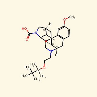 COc1ccc2c(c1)[C@]13CCN(CCO[Si](C)(C)C(C)(C)C)[C@H](C2)[C@]12CCC1C3[C@@H](CN1C(=O)O)C2